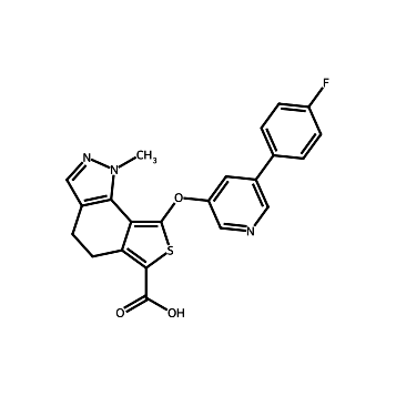 Cn1ncc2c1-c1c(Oc3cncc(-c4ccc(F)cc4)c3)sc(C(=O)O)c1CC2